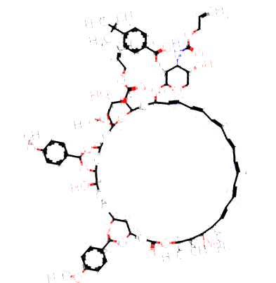 C=CCOC(=O)N[C@H]1[C@H](O)COC(OC2/C=C/C=C/C=C/C=C/C=C/C=C/C=C/[C@H](C)[C@@H](O)[C@@H](C)[C@H](C)OC(=O)CC3CC(CCC(O)C4CC(CC5(OC)C[C@H](O)C(C(=O)OCC=C)[C@H](C2)O5)OC(c2ccc(OC)cc2)O4)OC(c2ccc(OC)cc2)O3)[C@H]1OC(=O)c1ccc(C(C)(C)C)cc1